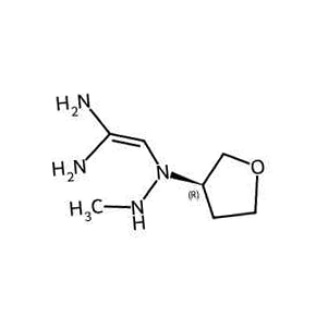 CNN(C=C(N)N)[C@@H]1CCOC1